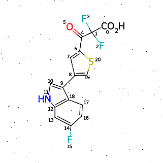 O=C(O)C(F)(F)C(=O)c1cc(-c2c[nH]c3cc(F)ccc23)cs1